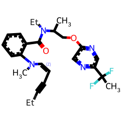 CCC#C/C=C\N(C)c1ccccc1C(=O)N(CC)C(C)COc1cnc(C(C)(F)F)cn1